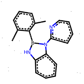 Cc1cccc(C)c1B1Nc2ccccc2N1c1ccccn1